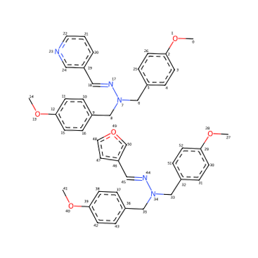 COc1ccc(CN(Cc2ccc(OC)cc2)N=Cc2cccnc2)cc1.COc1ccc(CN(Cc2ccc(OC)cc2)N=Cc2ccoc2)cc1